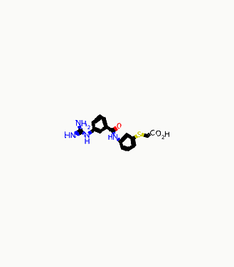 N=C(N)Nc1cccc(C(=O)Nc2cccc(SCC(=O)O)c2)c1